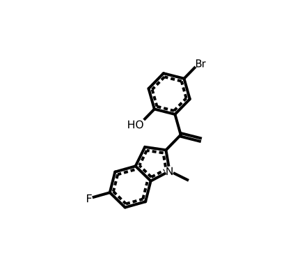 C=C(c1cc(Br)ccc1O)c1cc2cc(F)ccc2n1C